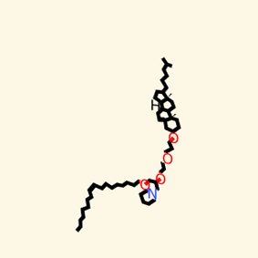 CCCCCCCC/C=C\CCCCCCCCOCC(CN1CCCCC1)OCCCOCCCO[C@H]1CC[C@@]2(C)C(=CC[C@H]3C4CCC(CCCCC(C)C)[C@@]4(C)CCC32)C1